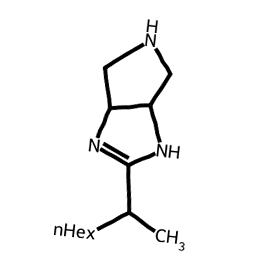 CCCCCCC(C)C1=NC2CNCC2N1